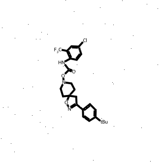 CC(C)(C)c1ccc(C2=NOC3(CCN(OC(=O)Nc4ccc(Cl)cc4C(F)(F)F)CC3)C2)cc1